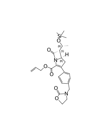 C=CCOC(=O)C1=C(c2ccc(CN3CCOC3=O)cc2)C[C@@H]2[C@@H]([C@@H](C)O[Si](C)(C)C)C(=O)N12